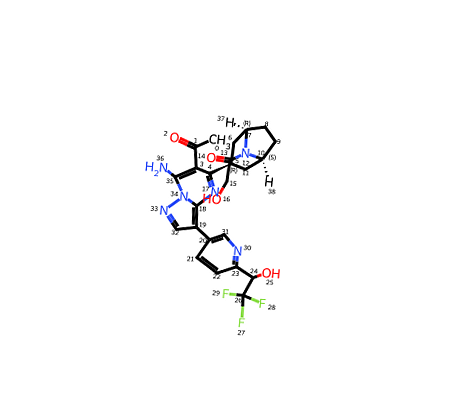 CC(=O)c1c([C@H]2C[C@H]3CC[C@@H](C2)N3C(=O)CO)nc2c(-c3ccc(C(O)C(F)(F)F)nc3)cnn2c1N